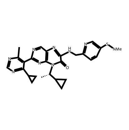 CNSc1ccc(CNc2nc3cnc(-c4c(C)ncnc4C4CC4)nc3n([C@@H](C)C3CC3)c2=O)nc1